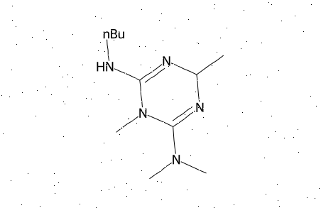 CCCCNC1=NC(C)N=C(N(C)C)N1C